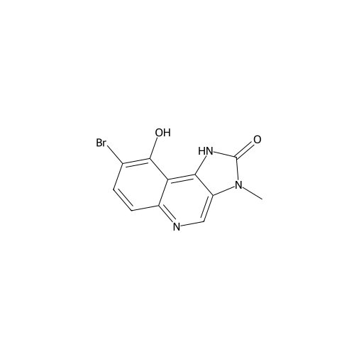 Cn1c(=O)[nH]c2c3c(O)c(Br)ccc3ncc21